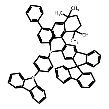 CC1(C)CCC(C)(C)c2c(-c3cc4c(cc3N(c3ccc(-c5ccccc5)cc3)c3ccc(-n5c6ccccc6c6ccccc65)cc3)C3(c5ccccc5-c5ccccc53)c3ccccc3-4)cccc21